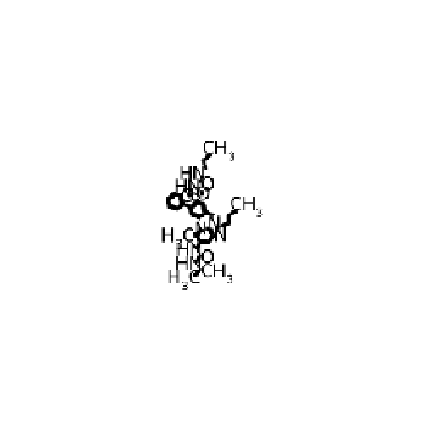 CCCCNC(=O)NS(=O)(=O)c1cc(Cn2c(CCCC)nc3cc(NC(=O)NC(C)C)c(C)nc32)ccc1-c1ccccc1